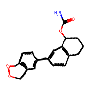 NC(=O)OC1CCCc2ccc(-c3ccc4c(c3)COO4)cc21